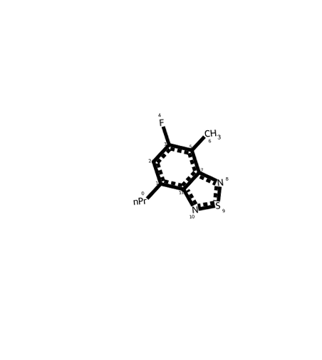 CCCc1cc(F)c(C)c2nsnc12